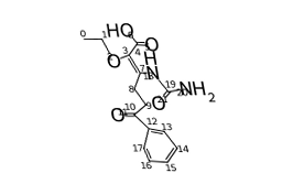 CCOC(C(=O)O)=C(CCC(=O)c1ccccc1)NC(N)=O